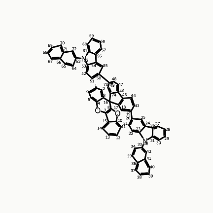 c1ccc2c(c1)Oc1c(oc3ccccc13)C21c2cc(-c3ccc4c(c3)c3ccccc3n4-c3ccc4ccccc4c3)ccc2-c2ccc(-c3ccc4c(c3)c3ccccc3n4-c3ccc4ccccc4c3)cc21